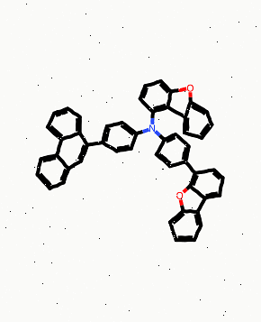 c1ccc2c(c1)cc(-c1ccc(N(c3ccc(-c4cccc5c4oc4ccccc45)cc3)c3cccc4oc5ccccc5c34)cc1)c1ccccc12